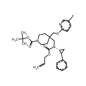 C=CCOC(=O)N(CC1(COc2ccc(F)cn2)CCN(C(=O)OC(C)(C)C)CC1)[C@@H]1CC1c1ccccc1